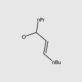 CCCC/C=C/C([O])CCC